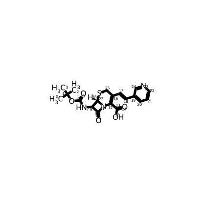 CC(C)(C)OC(=O)NC1C(=O)N2C(C(=O)O)=C(C=Cc3cccnc3)CS[C@@H]12